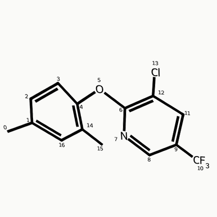 Cc1ccc(Oc2ncc(C(F)(F)F)cc2Cl)c(C)c1